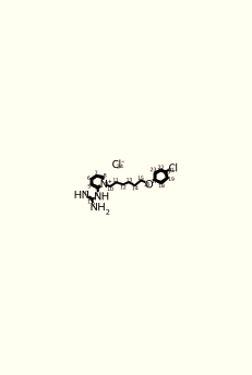 N=C(N)Nc1cccc[n+]1CCCCCCOc1ccc(Cl)cc1.[Cl-]